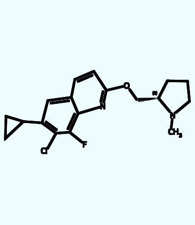 CN1CCC[C@H]1COc1ccc2cc(C3CC3)c(Cl)c(F)c2n1